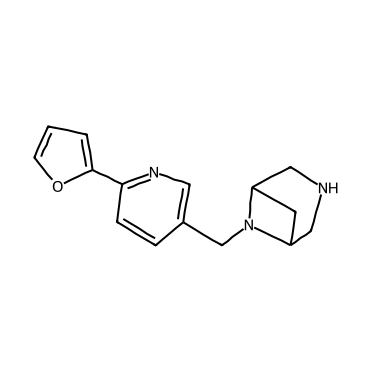 c1coc(-c2ccc(CN3C4CNCC3C4)cn2)c1